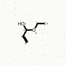 C=CC(O)OCI